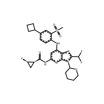 CS(=O)(=O)c1cc(C2CCC2)ccc1Nc1cc(NC(=O)[C@H]2C[C@H]2F)nc2c1nc(C(F)F)n2C1CCCCO1